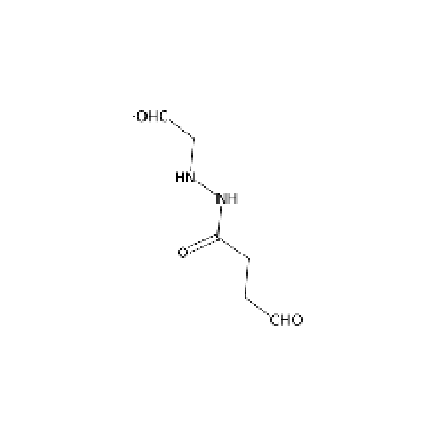 O=[C]CNNC(=O)CCC=O